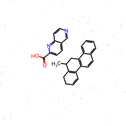 CC1Cc2c(ccc3ccccc23)C2=C1CCC=C2.O=C(O)c1ccc2cnccc2n1